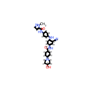 Cn1nccc1C(=O)Nc1ccc(Nc2ccc(NC(=O)c3ccc(N4CCC(O)CC4)cc3)cc2C#N)cc1